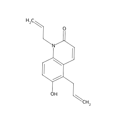 C=CCc1c(O)ccc2c1ccc(=O)n2CC=C